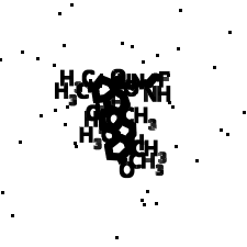 CC1(C)CC[C@]2(C(=O)ONC(=N)CF)CC[C@]3(C)[C@H](C(=O)C=C4[C@@]5(C)CCC(=O)C(C)(C)[C@@H]5CC[C@]43C)[C@@H]2C1